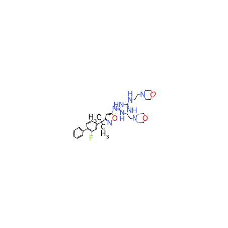 CC(C)(c1ccc(-c2ccccc2)c(F)c1)c1cc(/N=C(\NCCN2CCOCC2)NC(=N)NCCN2CCOCC2)on1